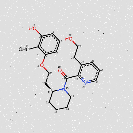 O=Cc1c(O)cccc1OCC[C@@H]1CCCCN1C(=O)c1ncccc1CCO